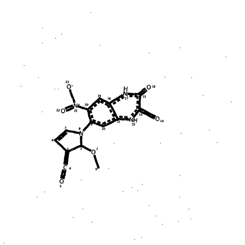 COC1C(=C=O)C=CN1c1cc2[nH]c(=O)c(=O)[nH]c2cc1[N+](=O)[O-]